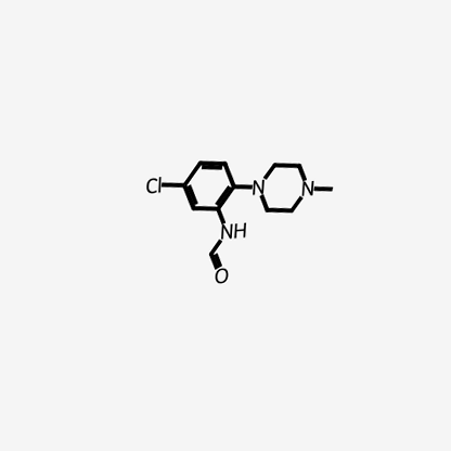 CN1CCN(c2ccc(Cl)cc2NC=O)CC1